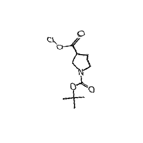 CC(C)(C)OC(=O)N1CCC(C(=O)OCl)C1